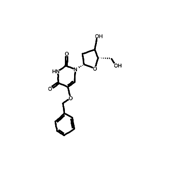 O=c1[nH]c(=O)n([C@@H]2CC(O)[C@H](CO)O2)cc1OCc1ccccc1